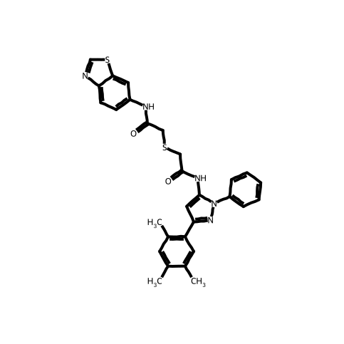 Cc1cc(C)c(-c2cc(NC(=O)CSCC(=O)Nc3ccc4ncsc4c3)n(-c3ccccc3)n2)cc1C